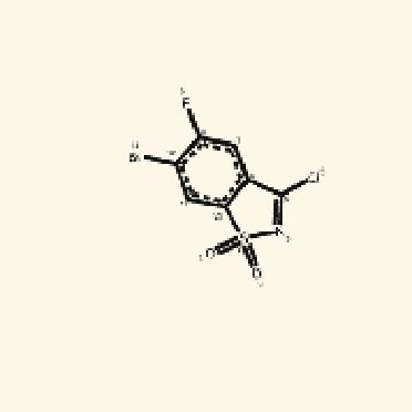 O=S1(=O)N=C(Cl)c2cc(F)c(Br)cc21